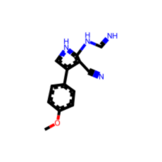 COc1ccc(-c2c[nH]c(NC=N)c2C#N)cc1